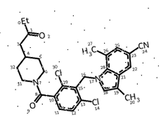 CCC(=O)CC1CCN(C(=O)c2ccc(Cl)c(Cn3cc(C)c4cc(C#N)cc(C)c43)c2Cl)CC1